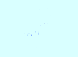 [c]1ccc(N2CCCN2)cc1